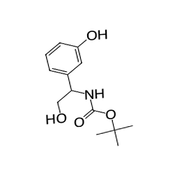 CC(C)(C)OC(=O)NC(CO)c1cccc(O)c1